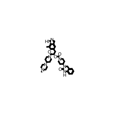 Cc1cc(CC(OC(=O)N2CCC(N3Cc4ccccc4NC3=O)CC2)C(=O)N2CCC(N3CCN(C)CC3)CC2)cc2cn[nH]c12